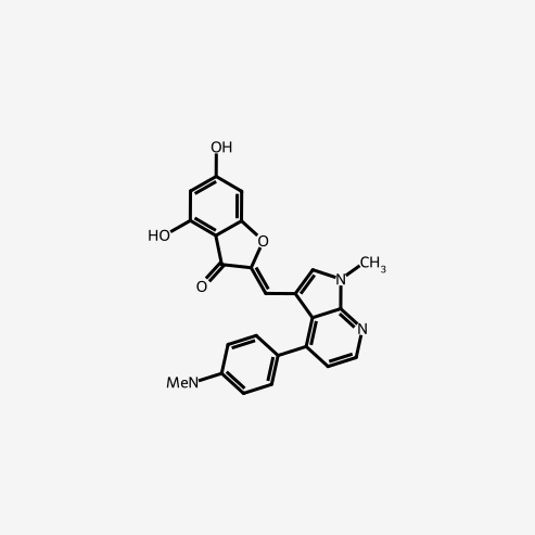 CNc1ccc(-c2ccnc3c2c(/C=C2\Oc4cc(O)cc(O)c4C2=O)cn3C)cc1